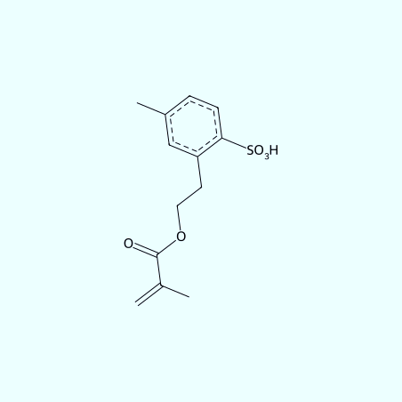 C=C(C)C(=O)OCCc1cc(C)ccc1S(=O)(=O)O